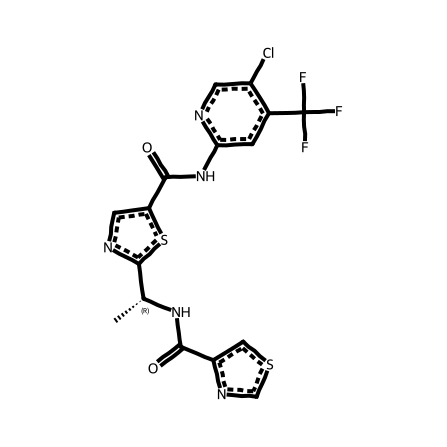 C[C@@H](NC(=O)c1cscn1)c1ncc(C(=O)Nc2cc(C(F)(F)F)c(Cl)cn2)s1